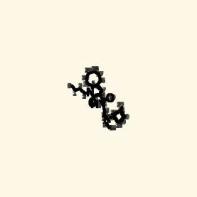 CCCCn1c2c(cc(C(=O)NCCN(CC)c3cccc(C)c3)c1=O)CCCCCC2